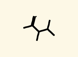 [CH]=C(C)C(C)C(C)C